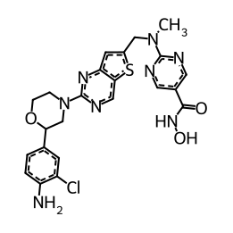 CN(Cc1cc2nc(N3CCOC(c4ccc(N)c(Cl)c4)C3)ncc2s1)c1ncc(C(=O)NO)cn1